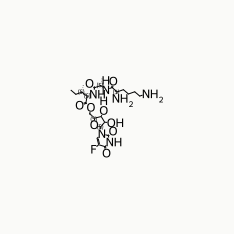 CC[C@H](C)[C@H](NC(=O)[C@H](C)NC(=O)[C@@H](N)CCCCN)C(=O)OC[C@@H]1O[C@H](n2cc(F)c(=O)[nH]c2=O)C(O)C1O